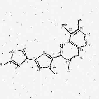 Cc1nc(-c2cc(C(=O)N(C)Cc3ccc(C)c(F)c3)n(C)c2)cs1